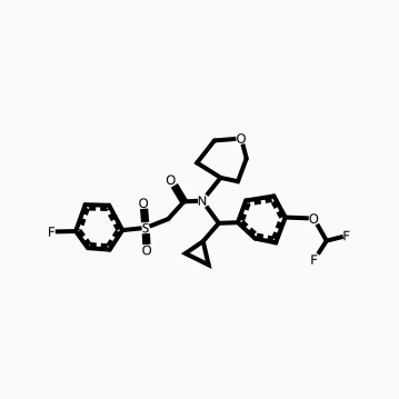 O=C(CS(=O)(=O)c1ccc(F)cc1)N(C1CCOCC1)C(c1ccc(OC(F)F)cc1)C1CC1